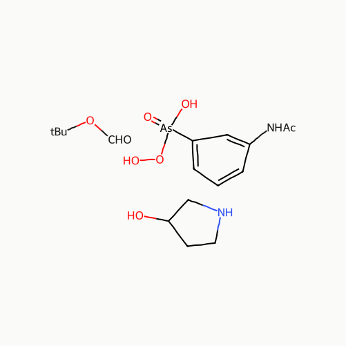 CC(=O)Nc1cccc([As](=O)(O)OO)c1.CC(C)(C)OC=O.OC1CCNC1